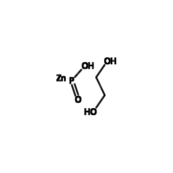 O=PO.OCCO.[Zn]